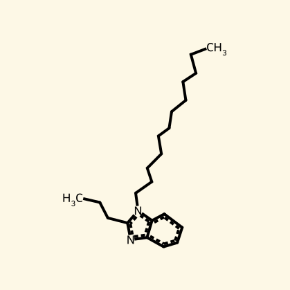 CCCCCCCCCCCCn1c(CCC)nc2ccccc21